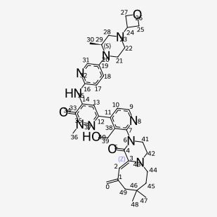 C=C1/C=C2/C(=O)N(c3nccc(-c4cc(Nc5ccc(N6CCN(C7COC7)C[C@@H]6C)cn5)c(=O)n(C)n4)c3CO)CCN2CCC(C)(C)C1